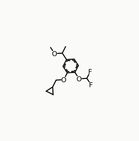 COC(C)c1ccc(OC(F)F)c(OCC2CC2)c1